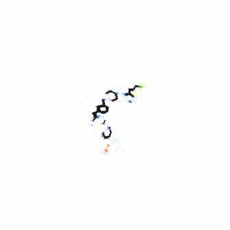 Cc1c(CN2CCC(Nc3ncnc4sc(CC(F)(F)F)cc34)CC2)ccc2c1cc(C#N)n2C[C@H](C)N1CCC(NP(C)(C)=O)CC1